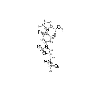 COCC1CCC(C)N1c1c(F)cc(N2C[C@H](CNC(C)=O)OC2=O)cc1F